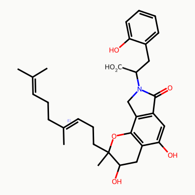 CC(C)=CCC/C(C)=C/CCC1(C)Oc2c(c(O)cc3c2CN(C(Cc2ccccc2O)C(=O)O)C3=O)CC1O